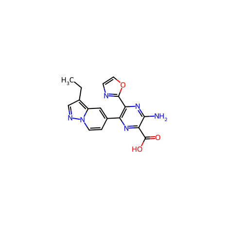 CCc1cnn2ccc(-c3nc(C(=O)O)c(N)nc3-c3ncco3)cc12